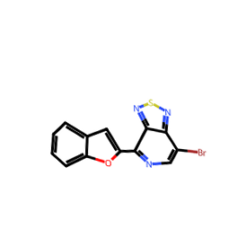 Brc1cnc(-c2cc3ccccc3o2)c2nsnc12